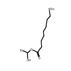 CCCCCCCCCCCCCCCC(=O)OC(O)CC